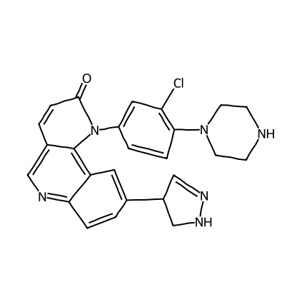 O=c1ccc2cnc3ccc(C4C=NNC4)cc3c2n1-c1ccc(N2CCNCC2)c(Cl)c1